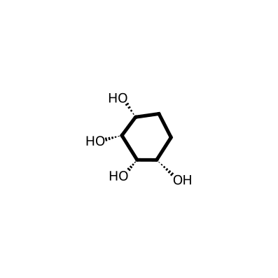 O[C@@H]1[C@H](O)[C@H](O)CC[C@@H]1O